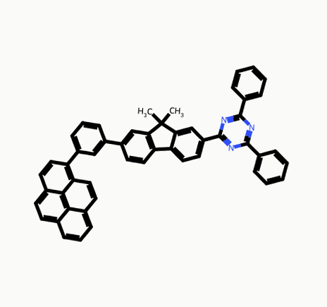 CC1(C)c2cc(-c3cccc(-c4ccc5ccc6cccc7ccc4c5c67)c3)ccc2-c2ccc(-c3nc(-c4ccccc4)nc(-c4ccccc4)n3)cc21